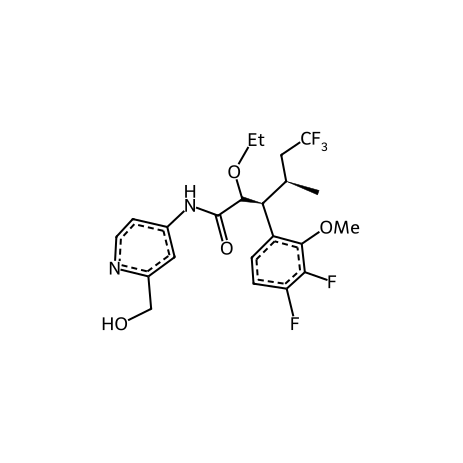 CCOC(C(=O)Nc1ccnc(CO)c1)[C@H](c1ccc(F)c(F)c1OC)[C@H](C)CC(F)(F)F